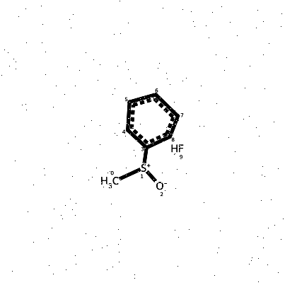 C[S+]([O-])c1ccccc1.F